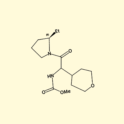 CC[C@@H]1CCCN1C(=O)C(NC(=O)OC)C1CCOCC1